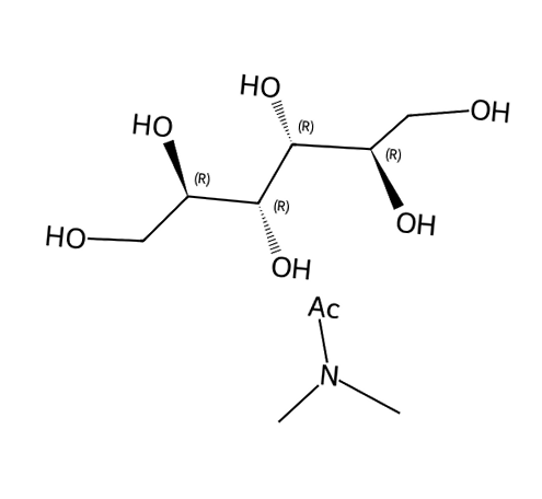 CC(=O)N(C)C.OC[C@@H](O)[C@@H](O)[C@H](O)[C@H](O)CO